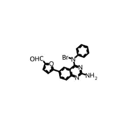 Nc1nc(N(Br)c2ccccc2)c2cc(-c3ccc(C=O)o3)ccc2n1